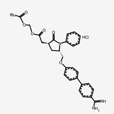 CC(C)(C)C(=O)OCOC(=O)C[C@@H]1C[C@@H](COc2ccc(-c3ccc(C(=N)N)cc3)cc2)N(c2ccccc2)C1=O.Cl